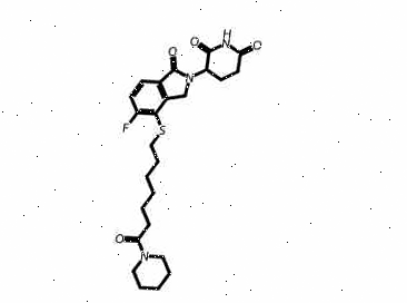 O=C1CCC(N2Cc3c(ccc(F)c3SCCCCCCC(=O)N3CCCCC3)C2=O)C(=O)N1